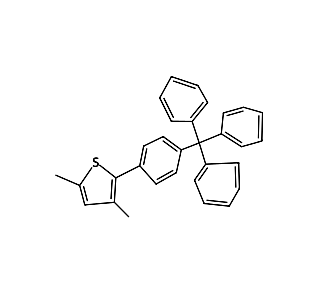 Cc1cc(C)c(-c2ccc(C(c3ccccc3)(c3ccccc3)c3ccccc3)cc2)s1